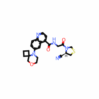 N#C[C@@H]1CSCN1C(=O)CNC(=O)c1ccnc2ccc(N3CCOCC34CCC4)cc12